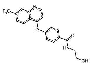 O=C(NCCO)c1ccc(Nc2ccnc3cc(C(F)(F)F)ccc23)cc1